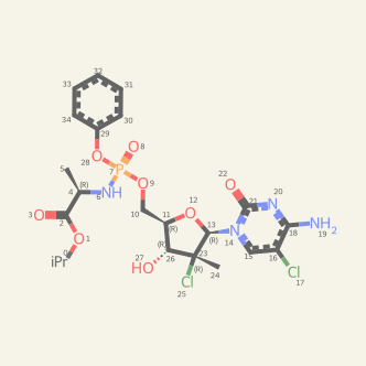 CC(C)OC(=O)[C@@H](C)NP(=O)(OC[C@H]1O[C@@H](n2cc(Cl)c(N)nc2=O)[C@](C)(Cl)[C@@H]1O)Oc1ccccc1